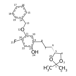 CC1(C)OC[C@@H](CCCc2cc(OCc3ccccc3)c(F)cc2O)O1